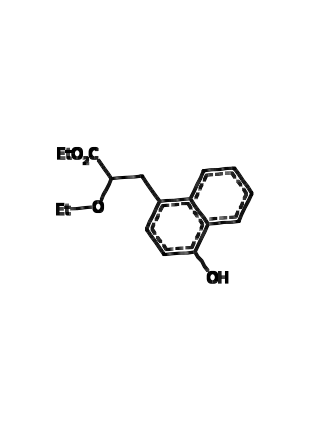 CCOC(=O)C(Cc1ccc(O)c2ccccc12)OCC